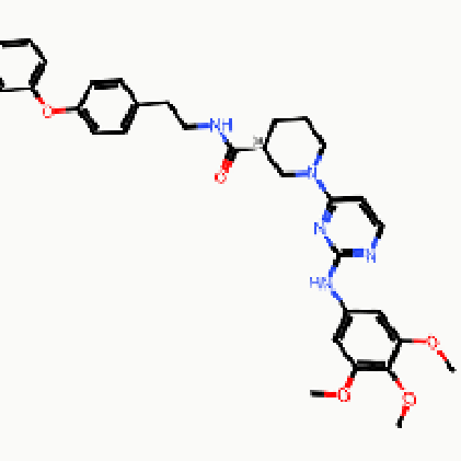 COc1cc(Nc2nccc(N3CCC[C@H](C(=O)NCCc4ccc(Oc5ccccc5)cc4)C3)n2)cc(OC)c1OC